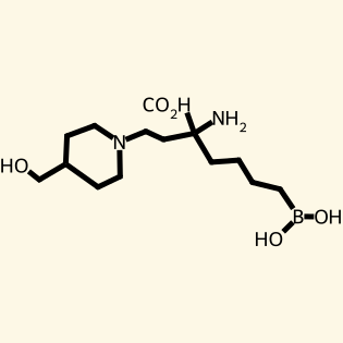 NC(CCCCB(O)O)(CCN1CCC(CO)CC1)C(=O)O